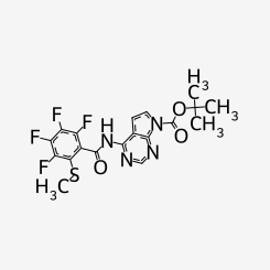 CSc1c(F)c(F)c(F)c(F)c1C(=O)Nc1ncnc2c1ccn2C(=O)OC(C)(C)C